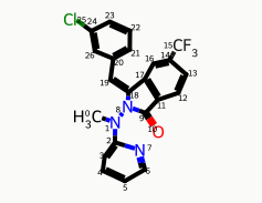 CN(c1ccccn1)N1C(=O)c2ccc(C(F)(F)F)cc2C1=Cc1cccc(Cl)c1